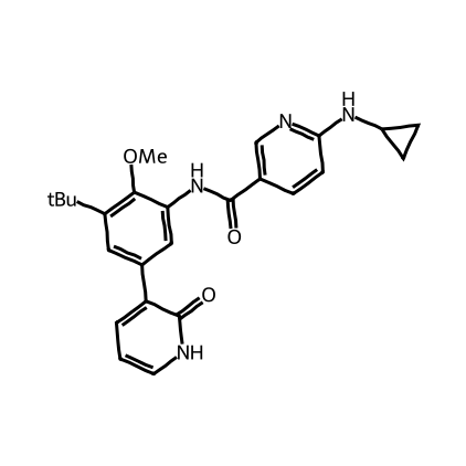 COc1c(NC(=O)c2ccc(NC3CC3)nc2)cc(-c2ccc[nH]c2=O)cc1C(C)(C)C